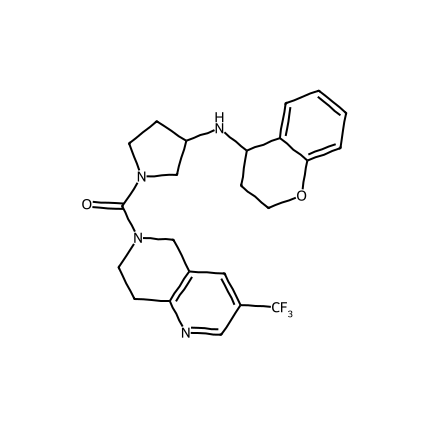 O=C(N1CCc2ncc(C(F)(F)F)cc2C1)N1CCC(NC2CCOc3ccccc32)C1